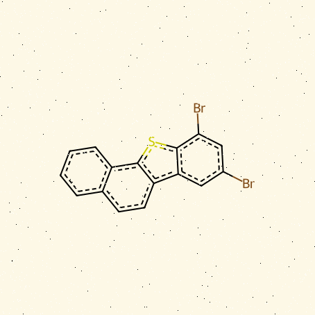 Brc1cc(Br)c2sc3c4ccccc4ccc3c2c1